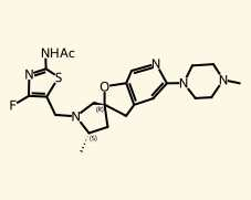 CC(=O)Nc1nc(F)c(CN2C[C@@]3(Cc4cc(N5CCN(C)CC5)ncc4O3)C[C@@H]2C)s1